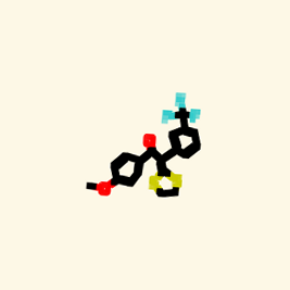 COc1ccc(C(=O)C(=C2SCCS2)c2cccc(C(F)(F)F)c2)cc1